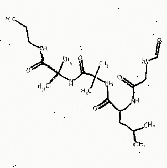 CCCNC(=O)C(C)(C)NC(=O)C(C)(C)NC(=O)C(CC(C)C)NC(=O)CNC=O